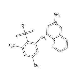 Cc1cc(C)c(S(=O)(=O)[O-])c(C)c1.N[n+]1ccc2ccccc2c1